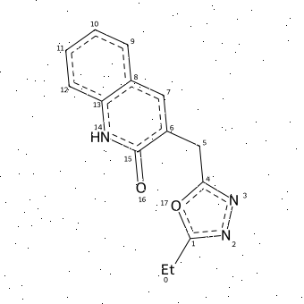 CCc1nnc(Cc2cc3ccccc3[nH]c2=O)o1